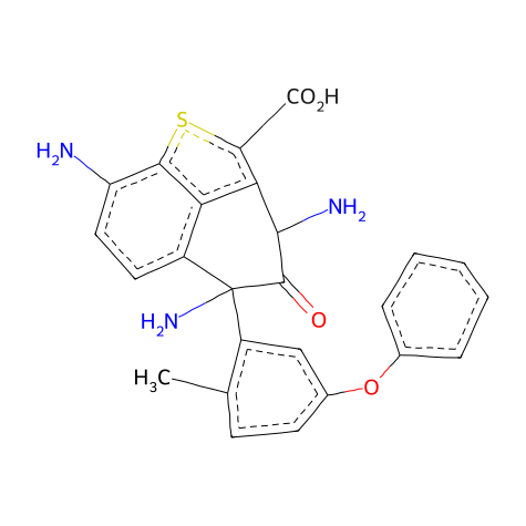 Cc1ccc(Oc2ccccc2)cc1C1(N)C(=O)C(N)c2c(C(=O)O)sc3c(N)ccc1c23